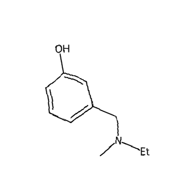 CCN(C)Cc1cccc(O)c1